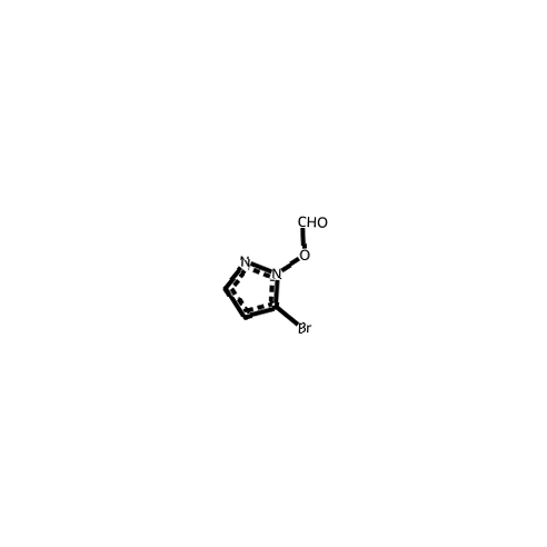 O=COn1nccc1Br